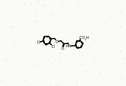 O=C(CNc1cccc(C(=O)O)c1)COCc1ccc(Cl)cc1Cl